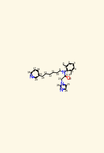 Cc1cccc(C)c1N(CCCCCCc1cccnc1)C(=O)Cn1ccnc1